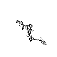 Cc1ccc(N(C)C(=O)c2ccc(NC(=O)c3ccccc3OCCCNC(=O)OC(C)(C)C)cc2)c(OCCCCCC(=O)N2CCN(C)CC2)c1